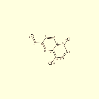 O=Cc1ccc2c(Cl)nnc(Cl)c2c1